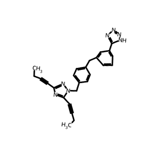 CCC#Cc1nc(C#CCC)n(Cc2ccc(Cc3cccc(-c4nnn[nH]4)c3)cc2)n1